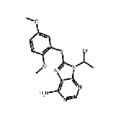 COc1ccc(OC)c(Sc2nc3c(N)ncnc3n2C(C)Br)c1